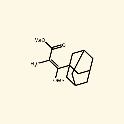 COC(=O)C(C)=C(OC)C12CC3CC(CC(C3)C1)C2